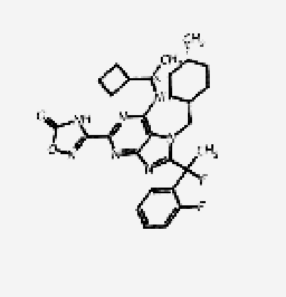 C[C@@H](Nc1nc(-c2noc(=O)[nH]2)nc2nc(C(C)(F)c3ccccc3F)n(C[C@H]3CC[C@H](C)CC3)c12)C1CCC1